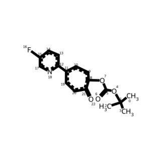 CC(C)(C)OC(=O)Oc1ccc(-c2ccc(F)cn2)ccc1=O